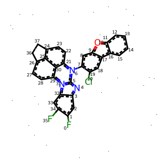 Fc1cc2nc3n(-c4cc5oc6ccccc6c5cc4Cl)c4ccc5c6c(ccc(c64)n3c2cc1F)CC5